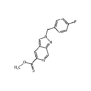 COC(=O)c1cc2cn(Cc3ccc(F)cc3)nc2cn1